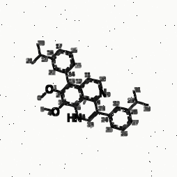 COc1c(OC)c2c3c(nccc3c1-c1cccc(C(C)C)c1)C(c1cccc(C(C)C)c1)=CN2